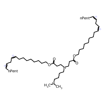 CCCCC/C=C\C/C=C\CCCCCCCCOC(=O)CCN(CCCCN(C)C)CCC(=O)OCCCCCCCC/C=C\C/C=C\CCCCC